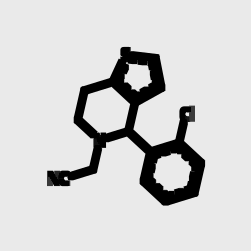 N#CCN1CCc2sccc2C1c1ccccc1Cl